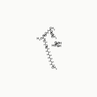 C=C(CCOOOC(C)COCCOOCCCCCCCCCCCC)OOOC.O=P(O)(O)O